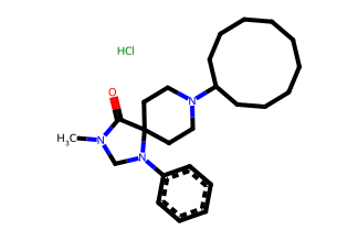 CN1CN(c2ccccc2)C2(CCN(C3CCCCCCCCC3)CC2)C1=O.Cl